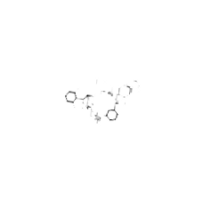 Cc1cccc(C)c1-c1cc2nc(n1)NS(=O)(=O)c1cccc(c1)C(=O)N(C1CCC3(CC1)OCCO3)[C@H](CC(C)(C)C)CO2